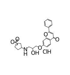 Cl.O=c1cc(-c2ccccc2)oc2cc(OCC(O)CNC3CCS(=O)(=O)C3)ccc12